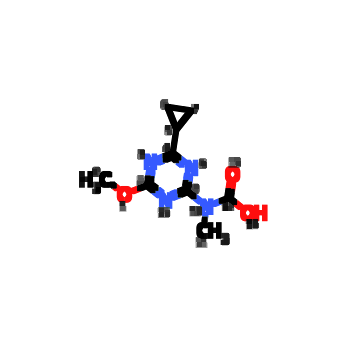 COc1nc(C2CC2)nc(N(C)C(=O)O)n1